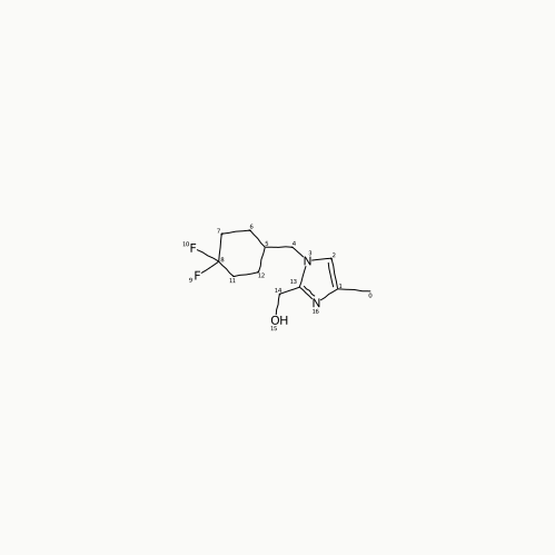 Cc1cn(CC2CCC(F)(F)CC2)c(CO)n1